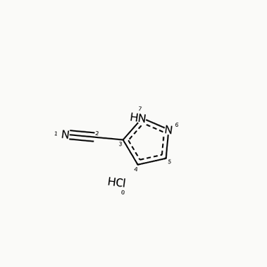 Cl.N#Cc1ccn[nH]1